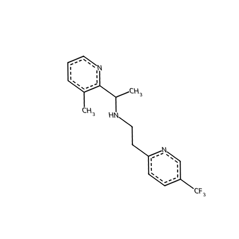 Cc1cccnc1C(C)NCCc1ccc(C(F)(F)F)cn1